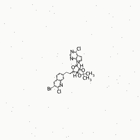 CC1(C)O[C@@H]2[C@H](O1)[C@@H](CCc1ccc3cc(Br)c(Cl)nc3c1)O[C@H]2n1ccc2c(Cl)ncnc21